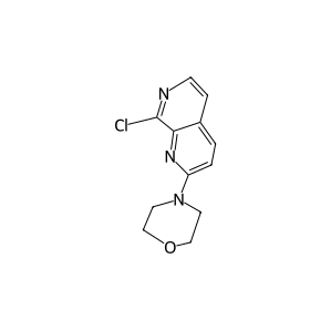 Clc1nccc2ccc(N3CCOCC3)nc12